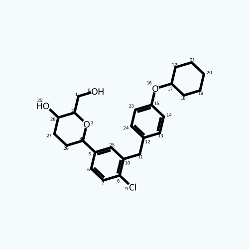 OCC1OC(c2ccc(Cl)c(Cc3ccc(OC4CCCCC4)cc3)c2)CCC1O